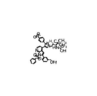 CC(C)(C)C(CCn1cc(-c2ccnc3c2cc(-c2cccc(CO)c2)n3S(=O)(=O)c2ccccc2)c(-c2ccc([N+](=O)[O-])cc2)n1)NC(=O)O